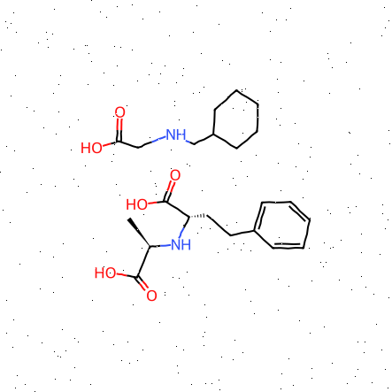 C[C@@H](N[C@@H](CCc1ccccc1)C(=O)O)C(=O)O.O=C(O)CNCC1CCCCC1